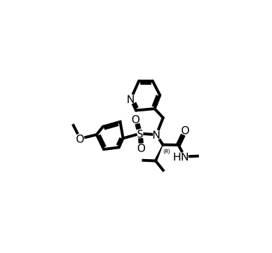 CNC(=O)[C@@H](C(C)C)N(Cc1cccnc1)S(=O)(=O)c1ccc(OC)cc1